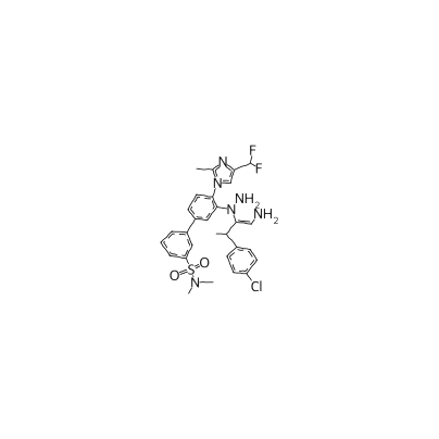 Cc1nc(C(F)F)cn1-c1ccc(-c2cccc(S(=O)(=O)N(C)C)c2)cc1N(N)/C(=C\N)C(C)c1ccc(Cl)cc1